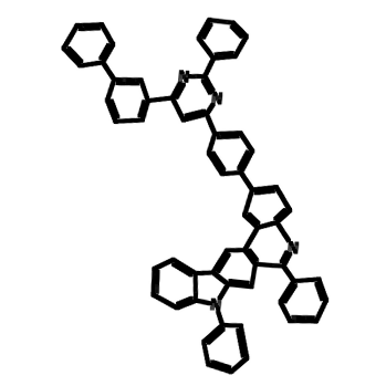 c1ccc(-c2cccc(-c3cc(-c4ccc(-c5ccc6nc(-c7ccccc7)c7cc8c(cc7c6c5)c5ccccc5n8-c5ccccc5)cc4)nc(-c4ccccc4)n3)c2)cc1